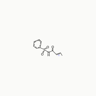 C/C=C/C(=O)NS(=O)(=O)c1ccccc1